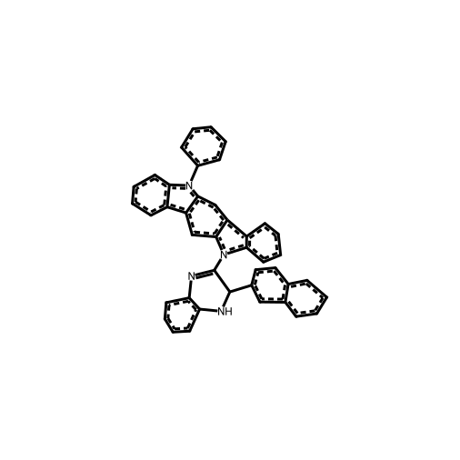 c1ccc(-n2c3ccccc3c3cc4c(cc32)c2ccccc2n4C2=Nc3ccccc3NC2c2ccc3ccccc3c2)cc1